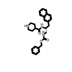 O=C(NC[C@@H](Cc1ccc2ccccc2c1)NC(=O)C1CCNCC1)OCc1ccccc1